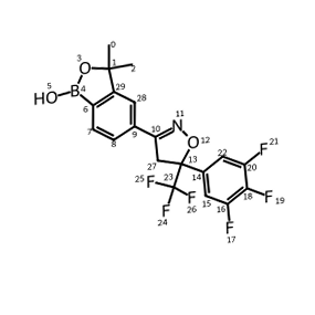 CC1(C)OB(O)c2ccc(C3=NOC(c4cc(F)c(F)c(F)c4)(C(F)(F)F)C3)cc21